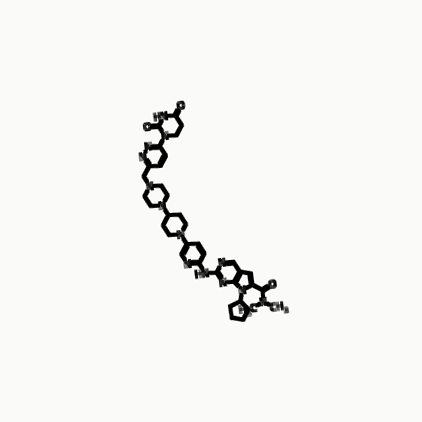 CN(C)C(=O)c1cc2cnc(Nc3ccc(N4CCC(N5CCN(Cc6ccc(N7CCC(=O)NC7=O)nn6)CC5)CC4)cn3)nc2n1C1CCCC1